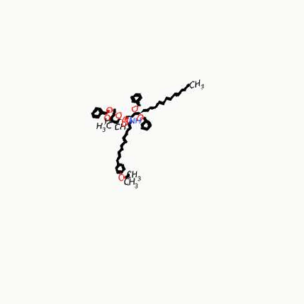 CCCCCCCCCCCCCC[C@@H](OCc1ccccc1)[C@@H](OCc1ccccc1)[C@H](CO[C@H]1OC2COC(c3ccccc3)O[C@@H]2[C@H](C)C1C)NC(=O)CCCCCCCCCCc1ccc(OC(C)C)cc1